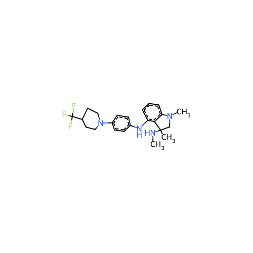 CNC1(C)CN(C)c2cccc(Nc3ccc(N4CCC(C(F)(F)F)CC4)cc3)c21